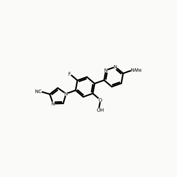 CNc1ccc(-c2cc(F)c(-n3cnc(C#N)c3)cc2OO)nn1